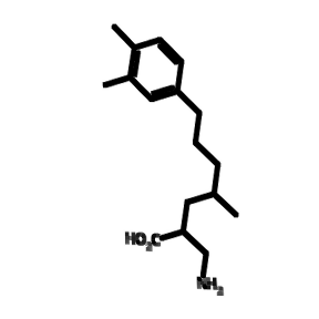 Cc1ccc(CCCC(C)CC(CN)C(=O)O)cc1C